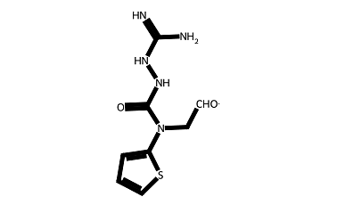 N=C(N)NNC(=O)N(C[C]=O)c1cccs1